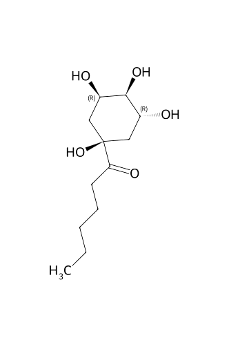 CCCCCC(=O)[C@]1(O)C[C@@H](O)[C@@H](O)[C@H](O)C1